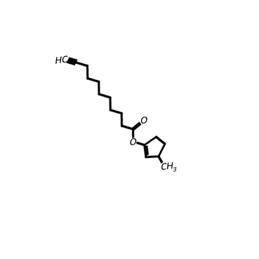 C#CCCCCCCCCC(=O)OC1=CC(C)CC1